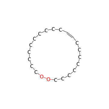 C1=CCCCCCCCCOOCCCCCCCCCC1